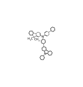 CC1(C)C2=CC(N(C3=CCC(c4ccccc4)C=C3)c3ccc(-c4ccc5c(c4)c4ccccc4n5-c4ccccc4)cc3)=CCC2c2ccccc21